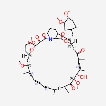 COC1CCC(C[C@H]2C3CCCN4C(=O)C(=O)C5(O)O[C@@H](CCC5C)C[C@H](OC)/C(C)=C/C=C/C=C/C(C)CC(C)C(=O)[C@H](OC)C(O)/C(C)=C/C(C)C(=O)C[C@@H]2OC(=O)C34)CC1OC